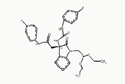 CCOC(CN1C(=O)[C@@](CC(=O)Nc2ccc(F)cc2)(NC(=O)Nc2ccc(F)cc2)c2ccccc21)OCC